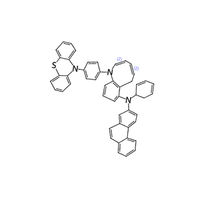 C1=CCC(N(c2ccc3c(ccc4ccccc43)c2)c2cccc3c2C/C=C\C=C/N3c2ccc(N3c4ccccc4Sc4ccccc43)cc2)C=C1